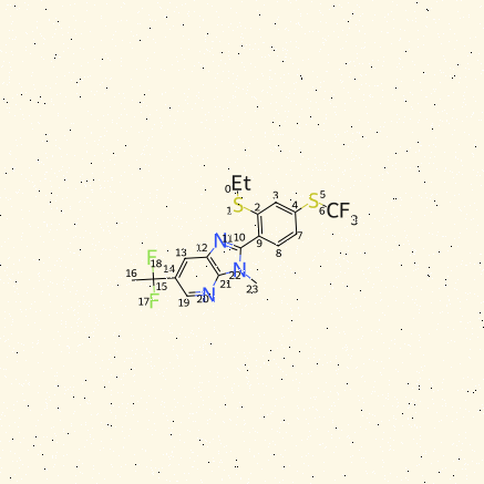 CCSc1cc(SC(F)(F)F)ccc1-c1nc2cc(C(C)(F)F)cnc2n1C